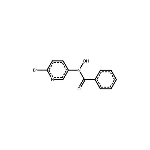 O=C(c1ccccc1)N(O)c1ccc(Br)nc1